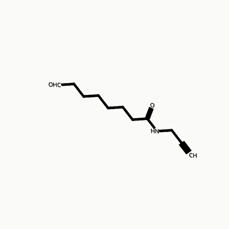 C#CCNC(=O)CCCCCCC=O